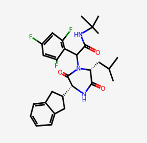 CC(C)C[C@@H]1C(=O)N[C@H](C2Cc3ccccc3C2)C(=O)N1C(C(=O)NC(C)(C)C)c1c(F)cc(F)cc1F